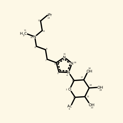 CC(=O)C1OC(n2cc(CCCN(C)CCC(C)C)nn2)C(O)C(O)C1O